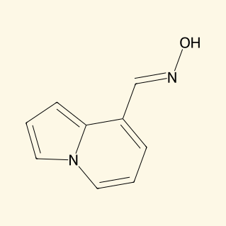 ON=Cc1cccn2cccc12